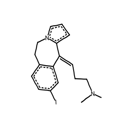 CN(C)CCC=C1c2cc(I)ccc2CCn2cccc21